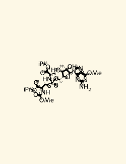 COC(=O)NC(CS[P@](=O)(N[C@H](C)C(=O)OC(C)C)OC[C@H]1O[C@@H](n2cnc3c(OC)nc(N)nc32)[C@](C)(O)[C@@H]1O)C(=O)OC(C)C